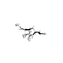 CC[Si](CC)(CC)O[C@@H](/C=C/I)CC#CSC(C)C